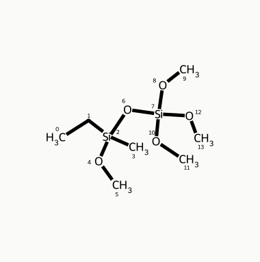 CC[Si](C)(OC)O[Si](OC)(OC)OC